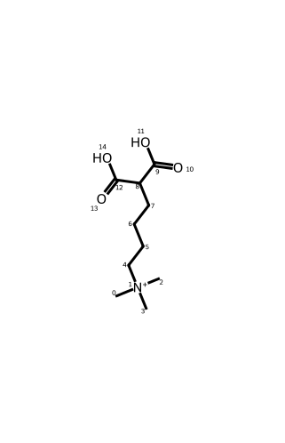 C[N+](C)(C)CCCCC(C(=O)O)C(=O)O